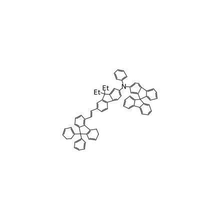 CCC1(CC)c2cc(/C=C/c3cccc4c3C3=C(C=CCC3)C4(C3=CC=CCC3)c3ccccc3)ccc2-c2ccc(N(c3ccccc3)c3ccc4c(c3)C3(c5ccccc5-c5ccccc53)c3ccccc3-4)cc21